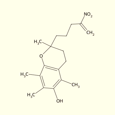 C=C(CCCC1(C)CCc2c(C)c(O)c(C)c(C)c2O1)[N+](=O)[O-]